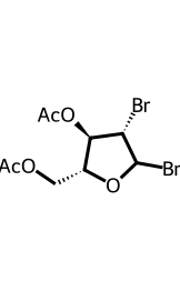 CC(=O)OC[C@H]1OC(Br)[C@@H](Br)[C@@H]1OC(C)=O